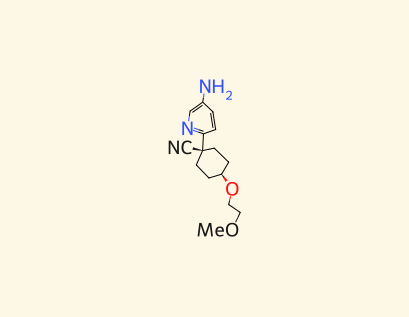 COCCO[C@H]1CC[C@](C#N)(c2ccc(N)cn2)CC1